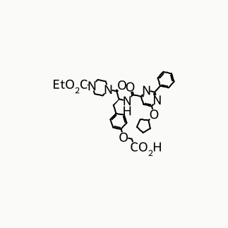 CCOC(=O)N1CCN(C(=O)[C@H](Cc2ccc(OCC(=O)O)cc2)NC(=O)c2cc(OC3CCCC3)nc(-c3ccccc3)n2)CC1